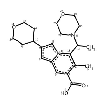 Cc1c(C(=O)O)cc2cc(C3CCOCC3)cn2c1C(C)N1CCOCC1